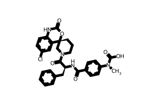 CN(C(=O)O)c1ccc(C(=O)N[C@@H](Cc2ccccc2)C(=O)N2CCC[C@]3(C2)OC(=O)Nc2ccc(Cl)cc23)cc1